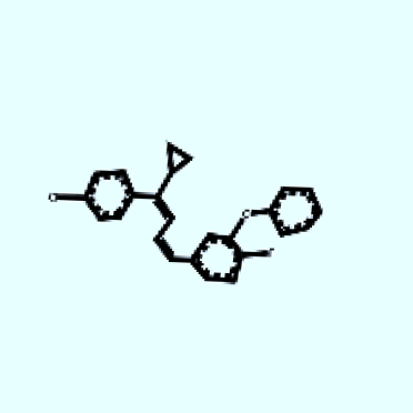 Fc1ccc(/C=C\C=C(/c2ccc(Cl)cc2)C2CC2)cc1Oc1ccccc1